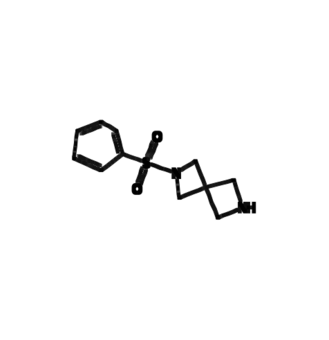 O=S(=O)(c1ccccc1)N1CC2(CNC2)C1